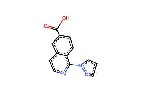 O=C(O)c1ccc2c(-n3cccn3)nccc2c1